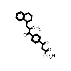 NC(CC1CCCc2ccccc21)C(=O)c1ccc(C(=O)CC(=O)C(=O)O)cc1